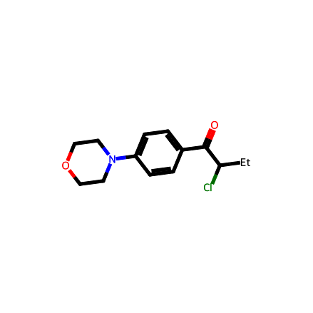 CCC(Cl)C(=O)c1ccc(N2CCOCC2)cc1